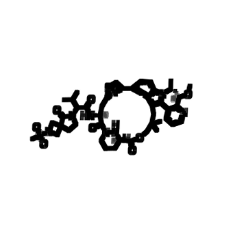 CCn1c(-c2cccnc2[C@H](C)OC)c2c3cc(ccc31)-c1csc(n1)C[C@H](NC(=O)C(C(C)C)N1CCC3(CN(S(C)(=O)=O)C3)C1=O)C(=O)N1CCC[C@H](N1)C(=O)OCC(C)(C)C2